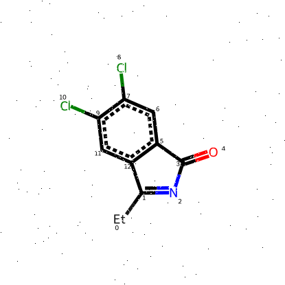 CCC1=NC(=O)c2cc(Cl)c(Cl)cc21